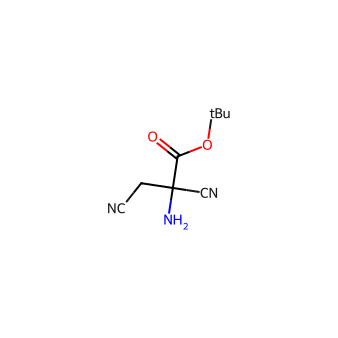 CC(C)(C)OC(=O)C(N)(C#N)CC#N